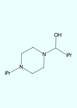 CC(C)C(O)N1CCN(C(C)C)CC1